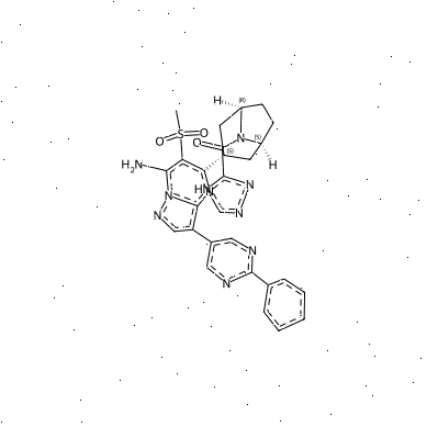 CS(=O)(=O)c1c([C@@H]2C[C@H]3CC[C@@H](C2)N3C(=O)c2nnc[nH]2)nc2c(-c3cnc(-c4ccccc4)nc3)cnn2c1N